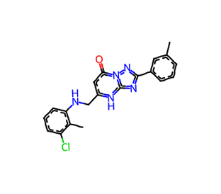 Cc1cccc(-c2nc3[nH]c(CNc4cccc(Cl)c4C)cc(=O)n3n2)c1